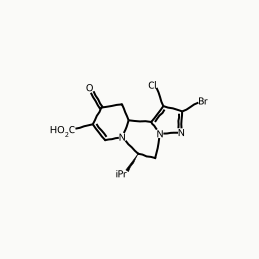 CC(C)[C@@H]1Cn2nc(Br)c(Cl)c2C2CC(=O)C(C(=O)O)=CN21